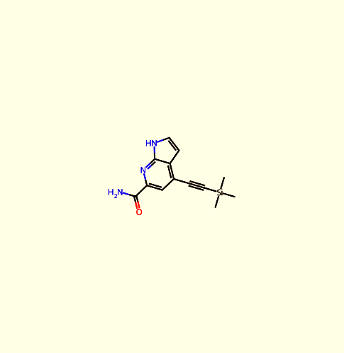 C[Si](C)(C)C#Cc1cc(C(N)=O)nc2[nH]ccc12